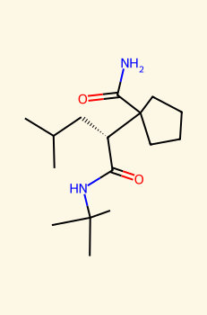 CC(C)C[C@@H](C(=O)NC(C)(C)C)C1(C(N)=O)CCCC1